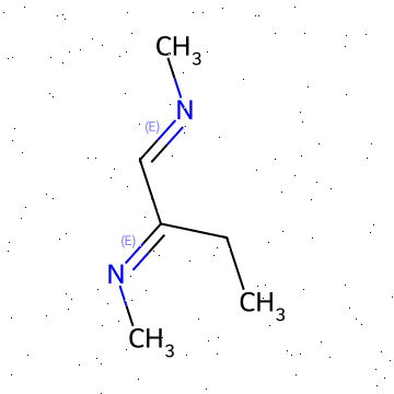 CCC(/C=N/C)=N\C